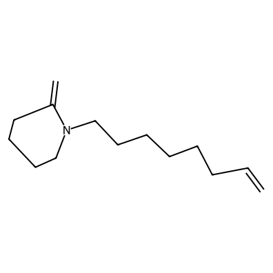 C=CCCCCCCN1CCCCC1=C